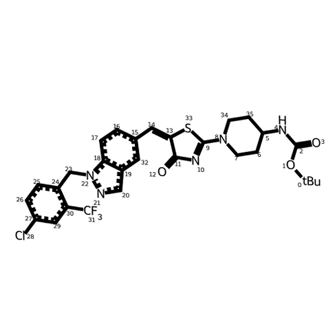 CC(C)(C)OC(=O)NC1CCN(C2=NC(=O)C(=Cc3ccc4c(cnn4Cc4ccc(Cl)cc4C(F)(F)F)c3)S2)CC1